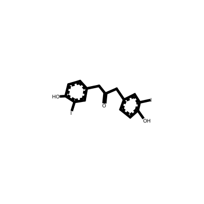 O=C(Cc1ccc(O)c(I)c1)Cc1ccc(O)c(I)c1